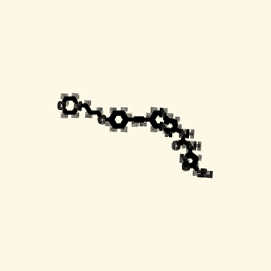 CC(C)(C)c1cc(NC(=O)Nc2cc3ncc(C#Cc4ccc(OCCCN5CCOCC5)cc4)cn3n2)no1